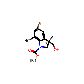 CC(C)(C)OC(=O)N1C[C@@](C)(CO)c2cc(Br)cc(C#N)c21